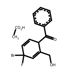 CC(=O)O.O=C(c1ccccc1)C1C=CC(F)(Br)C=C1CO